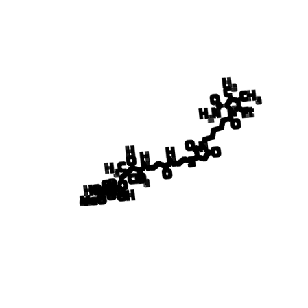 CCC1[C@@H](C)C(C)[C@@H](C(N)=O)N1C(=O)CCCCCN1C(=O)CC(SCCNC(=O)CCNC(=O)[C@H](O)C(C)(C)COP(=O)(O)OP(=O)(O)OC)C1=O